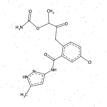 Cc1cc(NC(=O)c2cc(Cl)ccc2CC(=O)C(C)OC(N)=O)n[nH]1